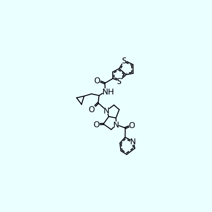 O=C(NC(CC1CC1)C(=O)N1CCC2C1C(=O)CN2C(=O)c1ccccn1)c1cc2sccc2s1